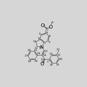 COC(=O)c1ccc2c(c1)CCN2/C=C(/C(=O)c1cccc(C)c1)c1ccccc1